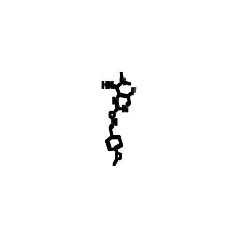 COc1ccc(/C=N/Oc2ncc(F)c(C(=N)N(C)C)n2)cc1